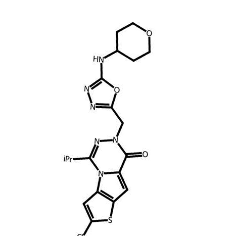 CC(C)c1nn(Cc2nnc(NC3CCOCC3)o2)c(=O)c2cc3sc(Cl)cc3n12